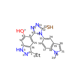 CCc1n[nH]c2cc(O)c(-c3nnc(S)n3-c3ccc4c(ccn4C)c3)cc12